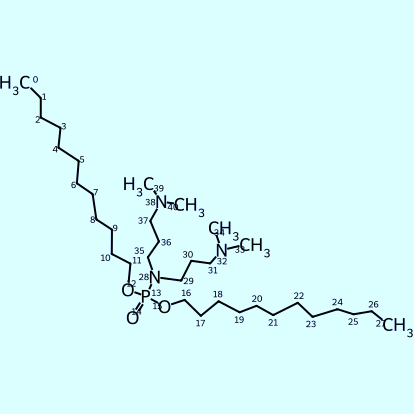 CCCCCCCCCCCCOP(=O)(OCCCCCCCCCCCC)N(CCCN(C)C)CCCN(C)C